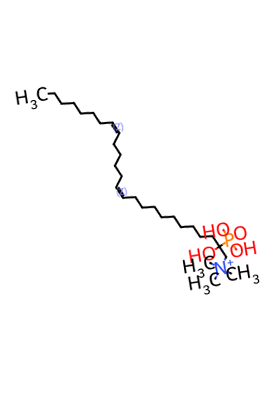 CCCCCCC/C=C\CCCC/C=C\CCCCCCCCCC(O)(C[N+](C)(C)C)P(=O)(O)O